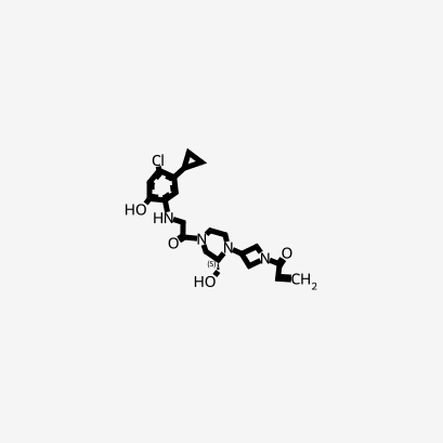 C=CC(=O)N1CC(N2CCN(C(=O)CNc3cc(C4CC4)c(Cl)cc3O)C[C@H]2CO)C1